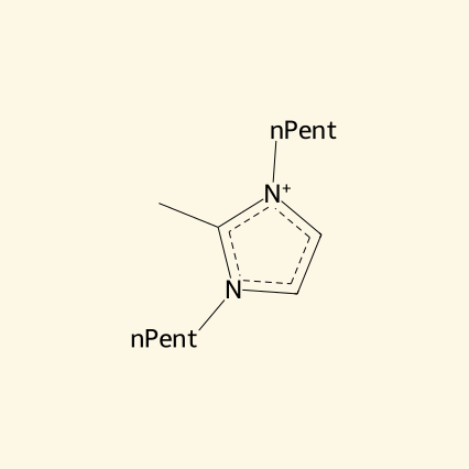 CCCCCn1cc[n+](CCCCC)c1C